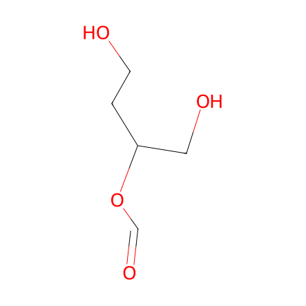 O=COC(CO)CCO